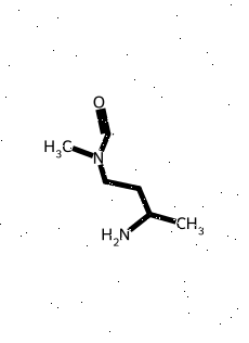 CC(N)CCN(C)[C]=O